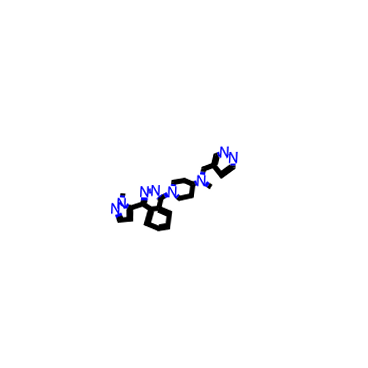 CN(Cc1ccnnc1)C1CCN(c2nnc(-c3ccnn3C)c3ccccc23)CC1